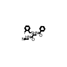 N#CCNC(=O)C(CNC(=O)c1ccccc1)SCc1ccccc1I